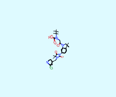 CC1(C)CN(C(=O)CN(C(=O)O)C(C)(C)C(C)(C)C)c2cc(N3C(=O)N(Cc4ccnc(Cl)c4)C(C)(C)C3=O)ccc21